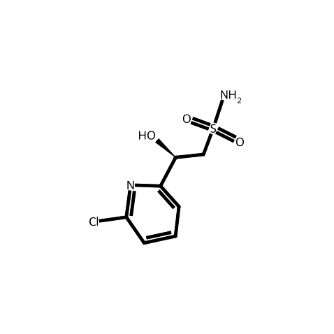 NS(=O)(=O)C[C@H](O)c1cccc(Cl)n1